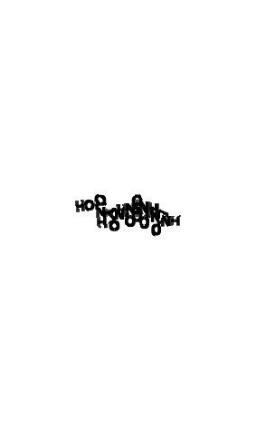 O=C(O)N[C@H]1CN(C(=O)NS(=O)(=O)NC(=O)N2CCNC2=O)C1=O